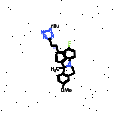 CCCCn1nnc(/C=C/c2ccc(C3(C)c4ccc(OC)cc4CCN3c3ccc(F)cc3)cc2)n1